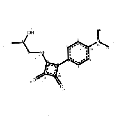 C[C@@H](O)CNc1c(-c2ccc(N(C)C)cc2)c(=O)c1=O